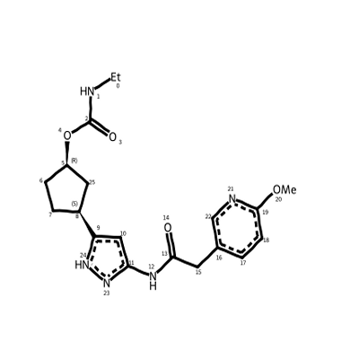 CCNC(=O)O[C@@H]1CC[C@H](c2cc(NC(=O)Cc3ccc(OC)nc3)n[nH]2)C1